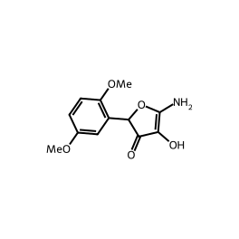 COc1ccc(OC)c(C2OC(N)=C(O)C2=O)c1